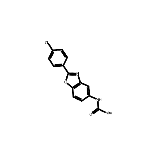 CCCCC(=O)Nc1ccc2oc(-c3ccc(Cl)cc3)nc2c1